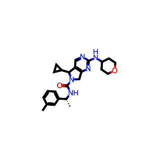 Cc1cccc([C@@H](C)NC(=O)N2Cc3nc(NC4CCOCC4)ncc3C2C2CC2)c1